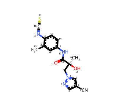 C[C@](O)(Cn1cc(C#N)cn1)C(=O)Nc1ccc(N=C=S)c(C(F)(F)F)c1